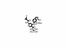 CCn1ncc2ccc(Nc3cc(NC(=O)C4CC4F)ncc3C(=O)NC(O)(O)O)c(OC)c21